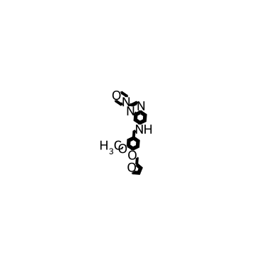 COc1cc(CNc2ccc3ncc(N4CCOCC4)nc3c2)ccc1OCc1ccco1